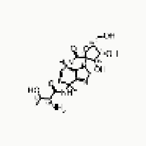 C[C@@H](O)[C@H](N)C(=O)NC1(C)N=CN=C2C1=NCN2[C@]1(C(N)=O)O[C@H](CO)[C@@H](O)[C@H]1O